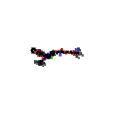 CC(C)(C)NC(=O)OCCOCCOCC(=O)NCCOc1ccc(-c2nc3nc(O[C@@H]4CO[C@H]5[C@@H]4OC[C@H]5OC4CCCCO4)n(COCC[Si](C)(C)C)c3cc2Cl)cc1